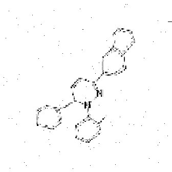 Cc1ccccc1N1N=C(c2ccc3ccccc3c2)C=CC1c1ccccc1